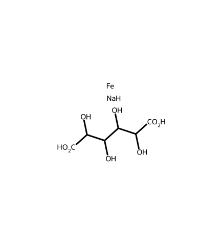 O=C(O)C(O)C(O)C(O)C(O)C(=O)O.[Fe].[NaH]